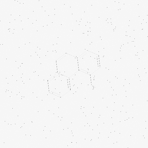 Sc1cccc2ccc3ccccc3c12